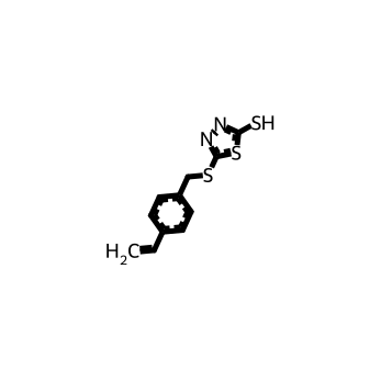 C=Cc1ccc(CSc2nnc(S)s2)cc1